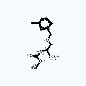 Cc1cccc(COCC(NC(=O)OC(C)(C)C)C(=O)O)c1